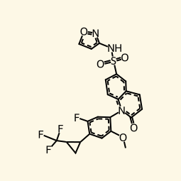 COc1cc(C2CC2C(F)(F)F)c(F)cc1-n1c(=O)ccc2cc(S(=O)(=O)Nc3ccon3)ccc21